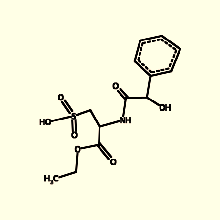 CCOC(=O)C(CS(=O)(=O)O)NC(=O)C(O)c1ccccc1